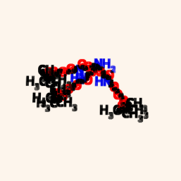 CCC1O[C@H](OCCOCCOCCNC(=O)CCOCC(N)(CCOCC(=O)NCCOCCOCCO[C@H]2OC(CC)[C@@H](C)[C@H](C)C2C)COCCC(=O)NCCOCCOCCO[C@H]2OC(CC)[C@@H](C)[C@H](C)C2C)C(C)[C@@H](C)[C@@H]1C